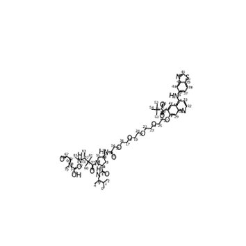 CC(C)[C@@H](C)NC(=O)[C@@H]1C[C@H](NC(=O)COCCOCCOCCOCCOc2cc3nccc(Nc4ccc5scnc5c4)c3cc2S(=O)(=O)C(C)(C)C)CN1C(=O)C(C)(C)[C@H](C)NC[C@@H](C=O)N(C)C(=O)O